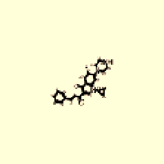 O=C(C=Cc1ccccc1)c1cn(C2CC2)c2cc(N3CCNCC3)c(F)cc2c1=O